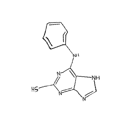 Sc1nc(Nc2ccccc2)c2[nH]cnc2n1